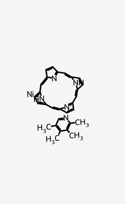 C1=Cc2cc3ccc(cc4nc(cc5ccc(cc1n2)[nH]5)C=C4)[nH]3.Cc1cnc(C)c(C)c1C.[Ni]